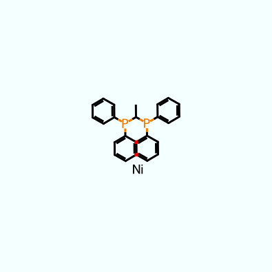 CC(P(c1ccccc1)c1ccccc1)P(c1ccccc1)c1ccccc1.[Ni]